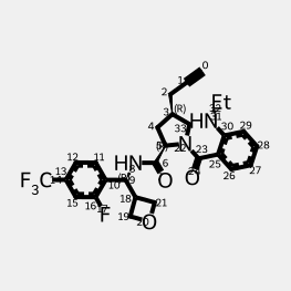 C#CC[C@@H]1C[C@H](C(=O)N[C@@H](c2ccc(C(F)(F)F)cc2F)C2COC2)N(C(=O)c2ccccc2NCC)C1